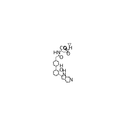 O=C(Cc1ccc(-c2cccc(-c3cc4ccncc4[nH]3)c2O)cc1)NC(CS(=O)(=O)CC1CC1)C(=O)O